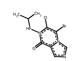 CC(C)Pn1c(Cl)c(Br)n2cncc2c1=O